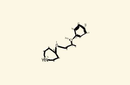 CC(COC1CCNCC1)Oc1ccccc1